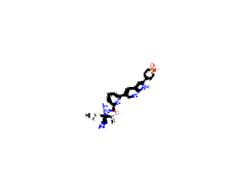 CC(C)(C#N)NC(=O)c1cccc(-c2cnc3[nH]c(C4=CCS(=O)(=O)CC4)cc3c2)n1